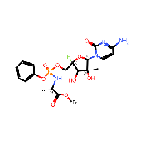 CC(C)OC(=O)[C@H](C)NP(=O)(OC[C@@]1(F)O[C@@H](n2ccc(N)nc2=O)[C@](C)(O)C1O)Oc1ccccc1